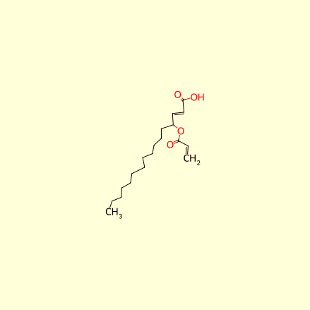 C=CC(=O)OC(/C=C/C(=O)O)CCCCCCCCCCCC